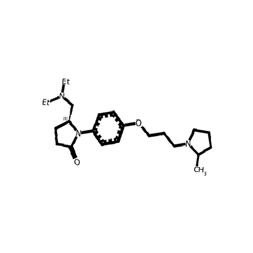 CCN(CC)C[C@@H]1CCC(=O)N1c1ccc(OCCCN2CCCC2C)cc1